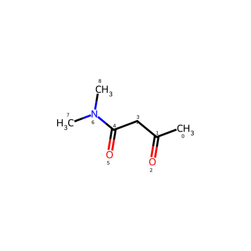 CC(=O)[CH]C(=O)N(C)C